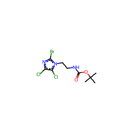 CC(C)(C)OC(=O)NCCn1c(Br)nc(Cl)c1Cl